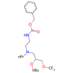 CCCCOC(COC(F)(F)F)CN(CCC)CCNC(=O)OCc1ccccc1